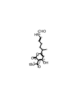 CC(CC/C=C/NC=O)c1cc(O)c(C(=O)C(C)(C)C)c(=O)o1